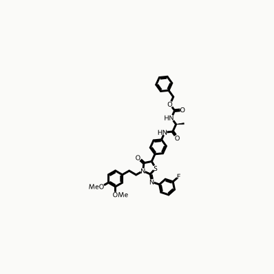 COc1ccc(CCN2C(=O)C(c3ccc(NC(=O)[C@H](C)NC(=O)OCc4ccccc4)cc3)S/C2=N\c2cccc(F)c2)cc1OC